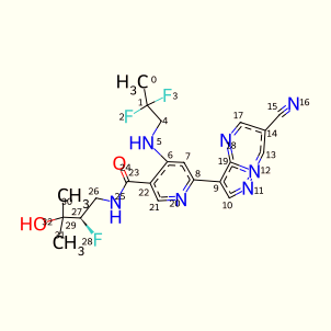 CC(F)(F)CNc1cc(-c2cnn3cc(C#N)cnc23)ncc1C(=O)NC[C@@H](F)C(C)(C)O